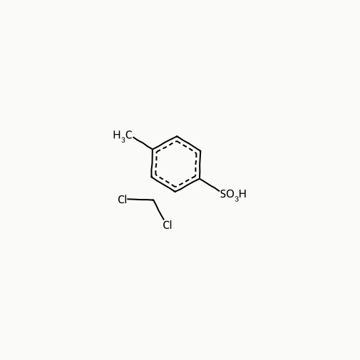 Cc1ccc(S(=O)(=O)O)cc1.ClCCl